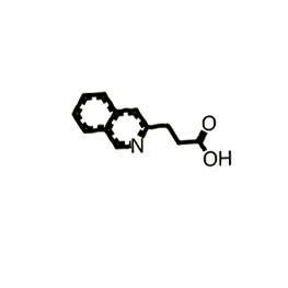 O=C(O)CCc1cc2ccccc2cn1